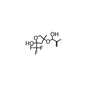 C=C(C)C(O)OC1(C)COC(O)(C(F)(F)F)C1